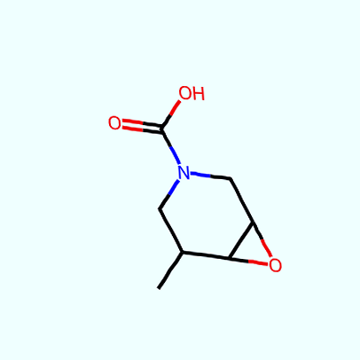 CC1CN(C(=O)O)CC2OC12